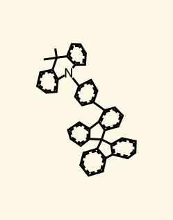 CC1(C)c2ccccc2N(c2ccc(-c3cccc4c3-c3ccccc3C43c4ccccc4-c4ccccc43)cc2)c2ccccc21